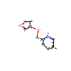 [c]1nocc1OCc1ccccn1